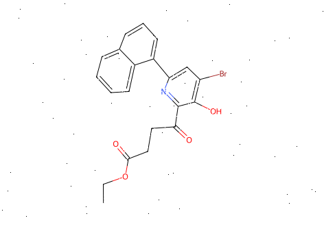 CCOC(=O)CCC(=O)c1nc(-c2cccc3ccccc23)cc(Br)c1O